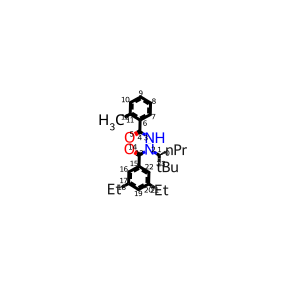 CCC[C@H](N(NC(=O)c1ccccc1C)C(=O)c1cc(CC)cc(CC)c1)C(C)(C)C